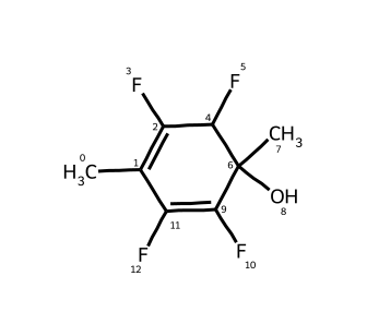 CC1=C(F)C(F)C(C)(O)C(F)=C1F